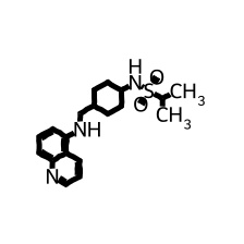 CC(C)S(=O)(=O)NC1CCC(CNc2cccc3ncccc23)CC1